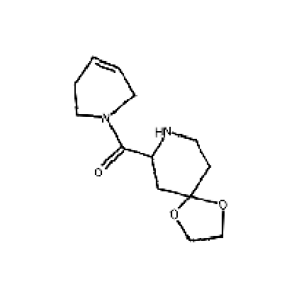 O=C(C1CC2(CCN1)OCCO2)N1CC=CCC1